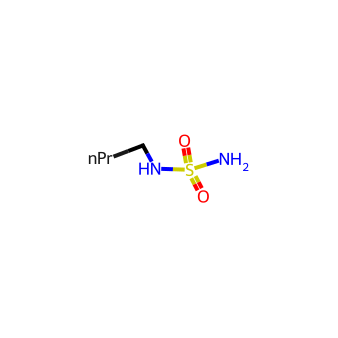 CCCCNS(N)(=O)=O